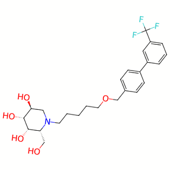 OC[C@@H]1[C@H](O)[C@H](O)[C@@H](O)CN1CCCCCOCc1ccc(-c2cccc(C(F)(F)F)c2)cc1